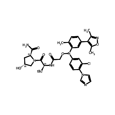 Cc1ccc(-c2c(C)noc2C)cc1N(OCC(=O)N[C@H](C(=O)N1C[C@H](O)C[C@H]1C(N)=O)C(C)(C)C)c1ccc(-n2ccnc2)c(Cl)c1